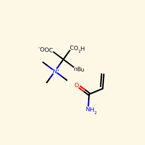 C=CC(N)=O.CCCCC(C(=O)[O-])(C(=O)O)[N+](C)(C)C